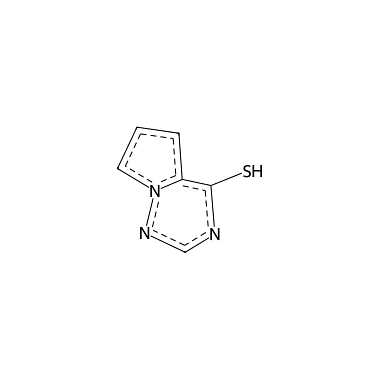 Sc1ncnn2cccc12